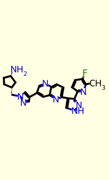 Cc1nc(-c2n[nH]cc2-c2ccc3ncc(-c4cnn(C[C@@H]5CC[C@H](N)C5)c4)cc3n2)ccc1F